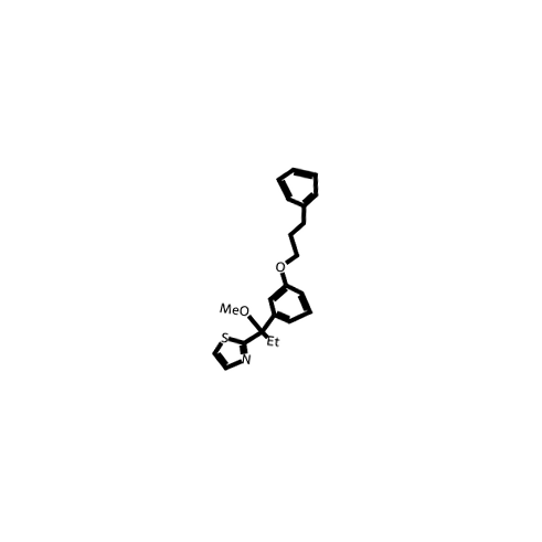 CCC(OC)(c1cccc(OCCCc2ccccc2)c1)c1nccs1